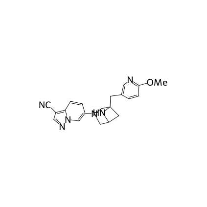 COc1ccc(CC23CC(CN(c4ccc5c(C#N)cnn5c4)C2)N3)cn1